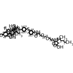 CCCCC(C)SC(CC(=O)O)C(=O)NCCOCCOCCC(=O)Nc1cccc(Sc2ccc([C@@H]3O[C@@H]4C[C@H]5[C@@H]6C[C@H](F)C7=CC(=O)C=C[C@]7(C)[C@@]6(F)[C@@H](O)C[C@]5(C)[C@]4(C(=O)CO)O3)cc2)c1